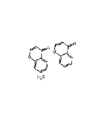 O.O=c1ccoc2ccccc12.O=c1ccoc2ccccc12